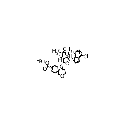 CC(C)(C)OC(=O)N1CCC2(CC1)COCCN2C[C@H]1O[C@@H](n2ccc3c(Cl)ncnc32)[C@@H]2OC(C)(C)O[C@@H]21